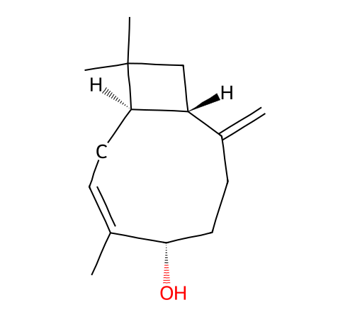 C=C1CC[C@H](O)/C(C)=C\C[C@@H]2[C@@H]1CC2(C)C